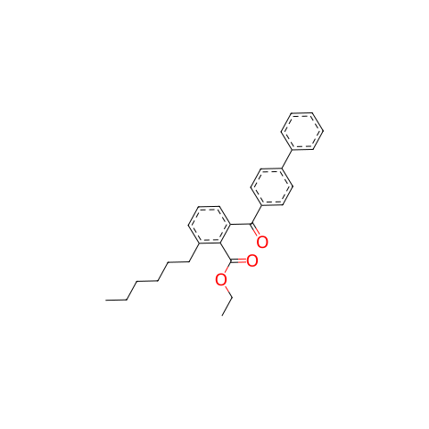 CCCCCCc1cccc(C(=O)c2ccc(-c3ccccc3)cc2)c1C(=O)OCC